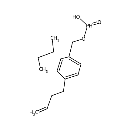 C=CCCc1ccc(CO[PH](=O)O)cc1.CCCC